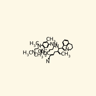 C=CCC(/N=C(\C(=C/C)C/C=C/C#N)c1cn2c3c(cccc13)CCC2)Nc1cc([N+](=O)[O-])c(N(C)CCN(C)C)cc1C